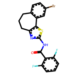 O=C(Nc1nc2c(s1)-c1cc(Br)ccc1CCC2)c1c(F)cccc1F